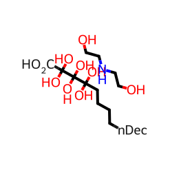 CCCCCCCCCCCCCCC(O)(O)C(O)(O)C(O)(O)C(=O)O.OCCNCCO